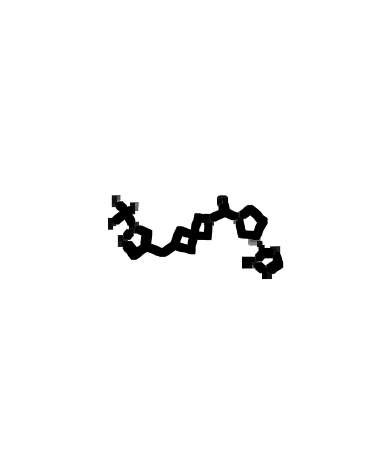 O=C(N1CC[C@H](c2ncn[nH]2)C1)N1CC2(CC(Cc3cnn(C(F)(F)F)c3)C2)C1